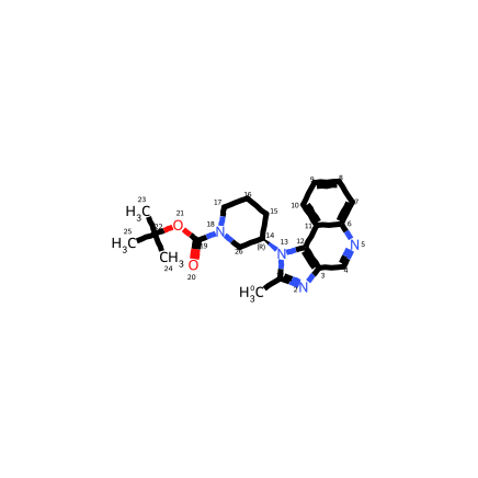 Cc1nc2cnc3ccccc3c2n1[C@@H]1CCCN(C(=O)OC(C)(C)C)C1